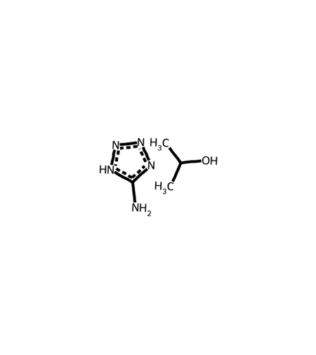 CC(C)O.Nc1nnn[nH]1